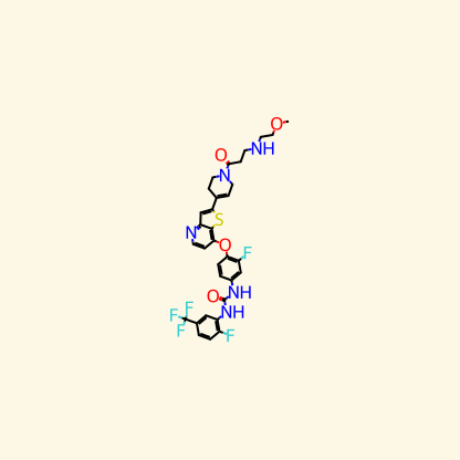 COCCNCCC(=O)N1CC=C(c2cc3nccc(Oc4ccc(NC(=O)Nc5cc(C(F)(F)F)ccc5F)cc4F)c3s2)CC1